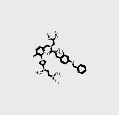 CCOC(CN(Cc1ccc(F)c(N2CC(N(C)CCN(C)C)C2)n1)C(=O)[C@@H](N)Cc1ccc(OCc2ccccc2)cc1F)OCC